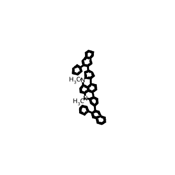 CN1c2cc(-c3cc4ccccc4cc3-c3ccccc3)ccc2-c2ccc3c4c(ccc1c24)N(C)c1cc(-c2cc4ccccc4cc2-c2ccccc2)ccc1-3